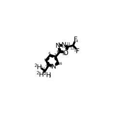 [2H]C([2H])([2H])c1ccc(-c2nnc(C(F)F)o2)cn1